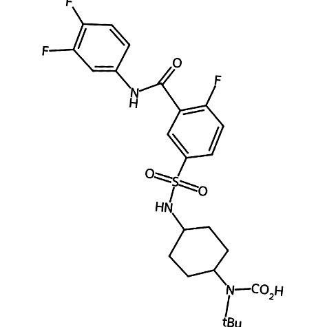 CC(C)(C)N(C(=O)O)C1CCC(NS(=O)(=O)c2ccc(F)c(C(=O)Nc3ccc(F)c(F)c3)c2)CC1